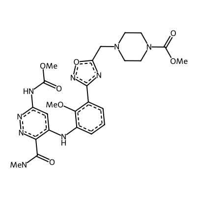 CNC(=O)c1nnc(NC(=O)OC)cc1Nc1cccc(-c2noc(CN3CCN(C(=O)OC)CC3)n2)c1OC